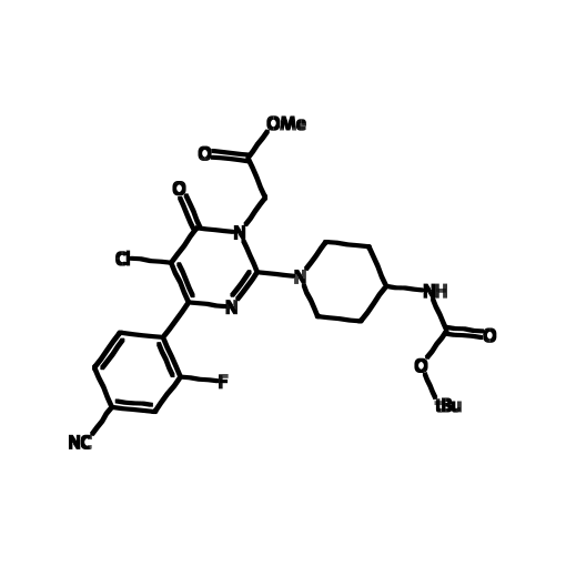 COC(=O)Cn1c(N2CCC(NC(=O)OC(C)(C)C)CC2)nc(-c2ccc(C#N)cc2F)c(Cl)c1=O